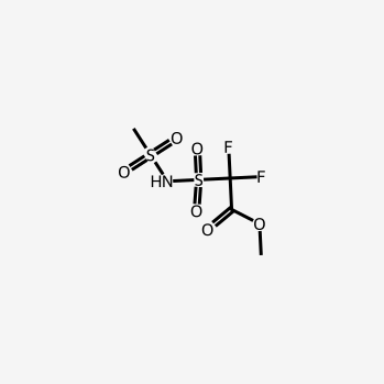 COC(=O)C(F)(F)S(=O)(=O)NS(C)(=O)=O